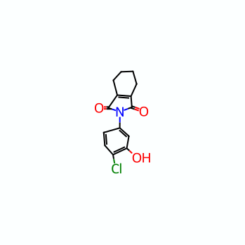 O=C1C2=C(CCCC2)C(=O)N1c1ccc(Cl)c(O)c1